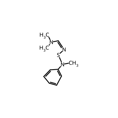 CN(C)/C=N\SN(C)c1ccccc1